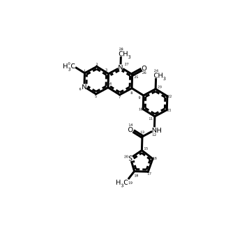 Cc1cc2c(cn1)cc(-c1cc(NC(=O)c3ccc(C)s3)ccc1C)c(=O)n2C